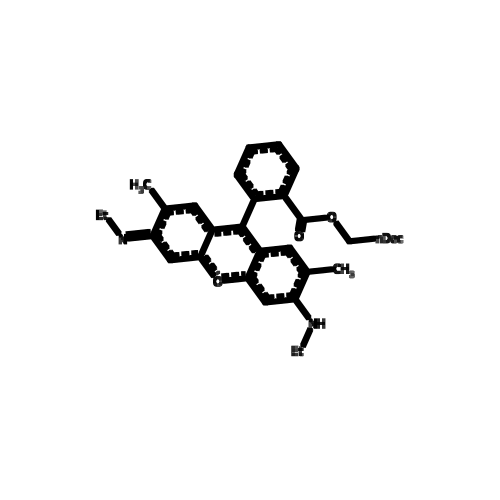 CCCCCCCCCCCOC(=O)c1ccccc1-c1c2cc(C)/c(=N\CC)cc-2oc2cc(NCC)c(C)cc12